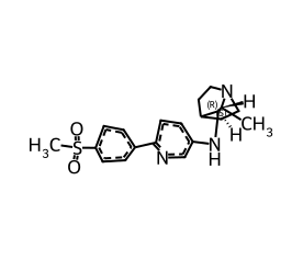 C[C@@H]1[C@@H](Nc2ccc(-c3ccc(S(C)(=O)=O)cc3)nc2)C2CCN1CC2